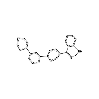 c1ccc(-c2cccc(-c3ccc(C4=NCNc5ccccc54)cc3)c2)cc1